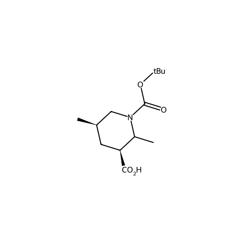 CC1[C@@H](C(=O)O)C[C@@H](C)CN1C(=O)OC(C)(C)C